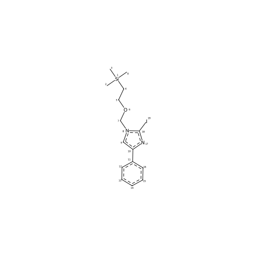 C[Si](C)(C)CCOCn1cc(-c2ccccc2)nc1I